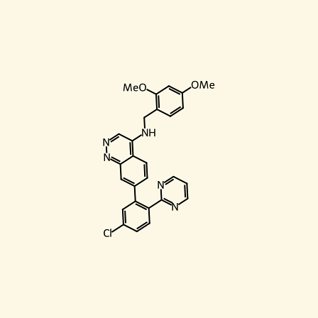 COc1ccc(CNc2cnnc3cc(-c4cc(Cl)ccc4-c4ncccn4)ccc23)c(OC)c1